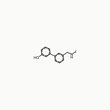 Oc1cccc(-c2cccc(CNI)c2)c1